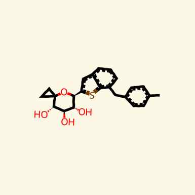 Cc1ccc(Cc2cccc3cc([C@@H]4OC5(CC5)[C@@H](O)[C@H](O)[C@H]4O)sc23)cc1